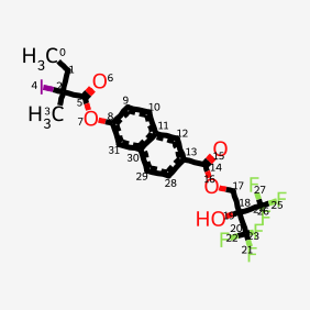 CCC(C)(I)C(=O)Oc1ccc2cc(C(=O)OCC(O)(C(F)(F)F)C(F)(F)F)ccc2c1